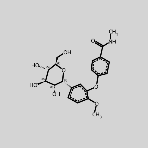 CNC(=O)c1ccc(Oc2cc([C@H]3O[C@H](CO)[C@@H](O)[C@H](O)[C@H]3O)ccc2OC)cc1